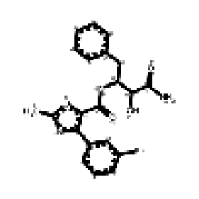 Cc1nc(-c2cccc(F)c2)c(C(=O)NC(Cc2ccccc2)C(O)C(N)=O)o1